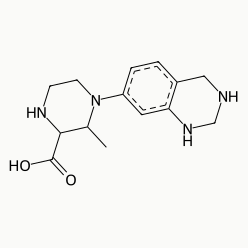 CC1C(C(=O)O)NCCN1c1ccc2c(c1)NCNC2